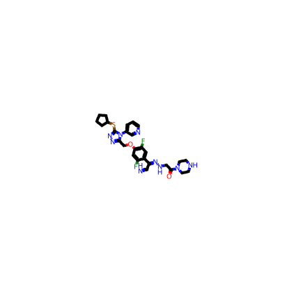 N=C/C(=N\NCC(=O)N1CCNCC1)c1cc(F)c(OCc2nnc(SC3CCCC3)n2-c2cccnc2)cc1F